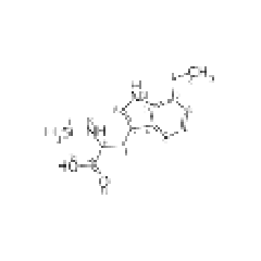 CCc1cccc2c(CC(N[SiH3])C(=O)O)c[nH]c12